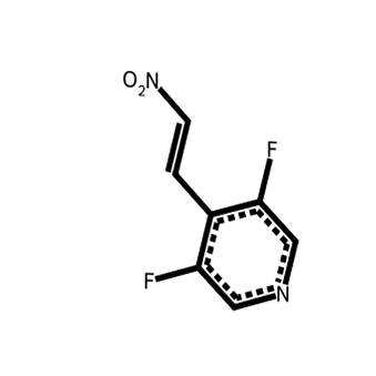 O=[N+]([O-])/C=C/c1c(F)cncc1F